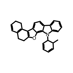 CC1C=CC=CC1n1c2ccccc2c2ccc3c4c(oc3c21)CCC1=C4CCC=C1